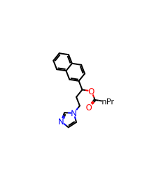 CCCC(=O)OC(CCn1ccnc1)c1ccc2ccccc2c1